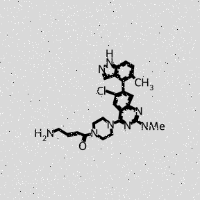 CNc1nc(N2CCN(C(=O)/C=C/CN)CC2)c2cc(Cl)c(-c3c(C)ccc4[nH]ncc34)cc2n1